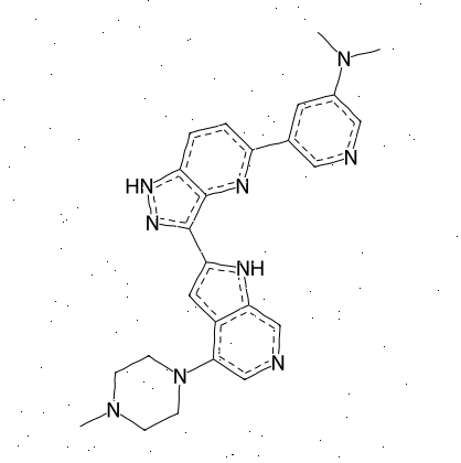 CN1CCN(c2cncc3[nH]c(-c4n[nH]c5ccc(-c6cncc(N(C)C)c6)nc45)cc23)CC1